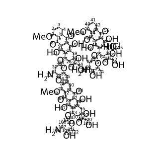 COc1cccc2c1C(=O)c1c(O)c3c(c(O)c1C2=O)C[C@@](O)(C(=O)CO)C[C@@H]3O[C@H]1C[C@H](N)[C@H](O)[C@H](C)O1.COc1cccc2c1C(=O)c1c(O)c3c(c(O)c1C2=O)C[C@@](O)(C(=O)CO)C[C@@H]3O[C@H]1C[C@H](N)[C@H](O)[C@H](C)O1.COc1cccc2c1C(=O)c1c(O)c3c(c(O)c1C2=O)C[C@@](O)(C(=O)CO)C[C@@H]3O[C@H]1C[C@H](N)[C@H](O)[C@H](C)O1.Cl.Cl